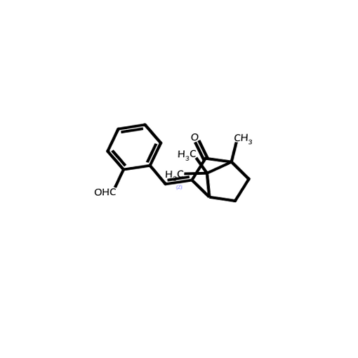 CC12CCC(/C(=C/c3ccccc3C=O)C1=O)C2(C)C